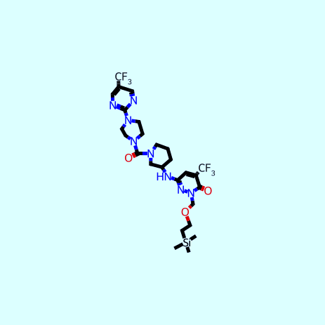 C[Si](C)(C)CCOCn1nc(NC2CCCN(C(=O)N3CCN(c4ncc(C(F)(F)F)cn4)CC3)C2)cc(C(F)(F)F)c1=O